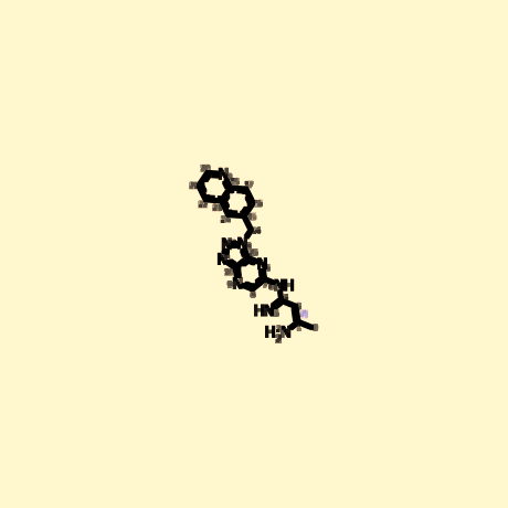 C/C(N)=C/C(=N)Nc1cnc2nnn(Cc3ccc4ncccc4c3)c2n1